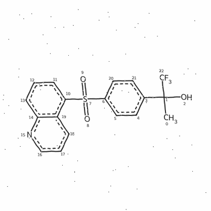 CC(O)(c1ccc(S(=O)(=O)c2cccc3ncccc23)cc1)C(F)(F)F